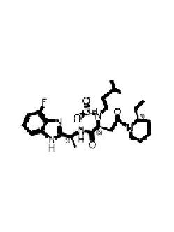 CC[C@H]1CCCCN1C(=O)C[C@@H](C(=O)N[C@@H](C)c1nc2c(F)cccc2[nH]1)N(CCC(C)C)[SH](=O)=O